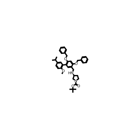 COc1ccc(C(C)C)cc1-c1cc(CNC2CCN(C(=O)OC(C)(C)C)C2)c(OCc2ccccc2)cc1OCc1ccccc1